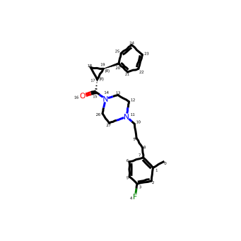 Cc1cc(F)ccc1CCCN1CCN(C(=O)[C@@H]2C[C@H]2c2ccccc2)CC1